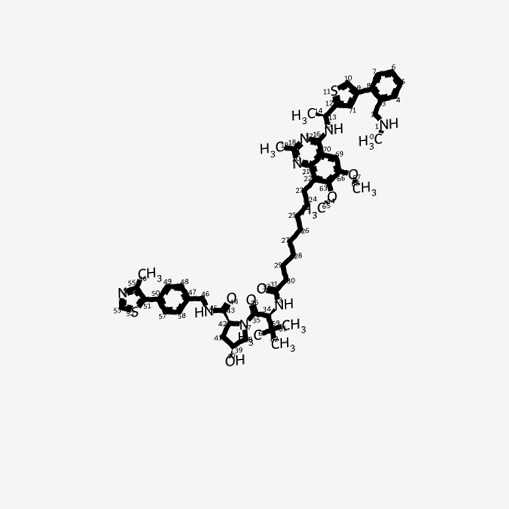 CNCc1ccccc1-c1csc([C@H](C)Nc2nc(C)nc3c(CCCCCCCCC(=O)N[C@H](C(=O)N4C[C@H](O)C[C@H]4C(=O)NCc4ccc(-c5scnc5C)cc4)C(C)(C)C)c(OC)c(OC)cc23)c1